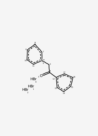 Br.Br.Br.O=C(C[n+]1ccccc1)c1ccccc1